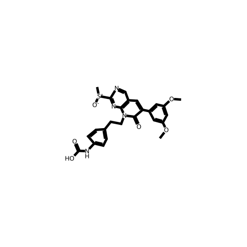 COc1cc(OC)cc(-c2cc3cnc([S+](C)[O-])nc3n(CCc3ccc(NC(=O)O)cc3)c2=O)c1